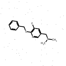 CN(C)Cc1cnc(SCc2ccccc2)c(F)c1